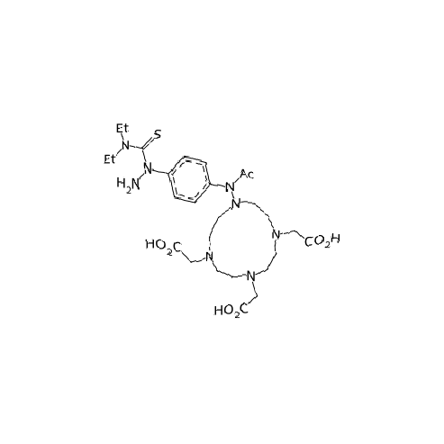 CCN(CC)C(=S)N(N)c1ccc(N(C(C)=O)N2CCN(CC(=O)O)CCN(CC(=O)O)CCN(CC(=O)O)CC2)cc1